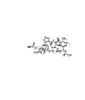 CC(C)[C@H](NC(=O)[C@@H](N)CC(=O)O)C(=O)NCC(=O)N1CCC[C@H]1C(=O)N[C@@H](Cc1ccccc1)C(=O)N[C@@H](CCC(=O)O)C(=O)O